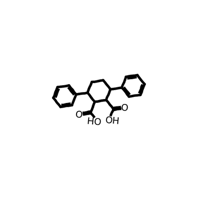 O=C(O)C1C(c2ccccc2)CCC(c2ccccc2)C1C(=O)O